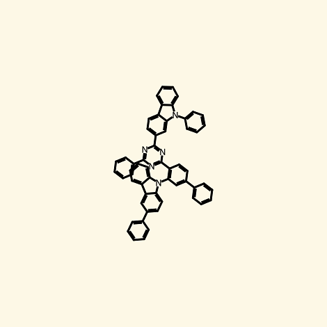 c1ccc(-c2ccc(-c3nc(-c4ccccc4)nc(-c4ccc5c6ccccc6n(-c6ccccc6)c5c4)n3)c(-n3c4ccccc4c4cc(-c5ccccc5)ccc43)c2)cc1